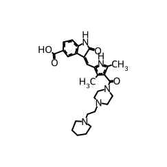 Cc1[nH]c(C=C2C(=O)Nc3ccc(C(=O)O)cc32)c(C)c1C(=O)N1CCN(CCN2CCCCC2)CC1